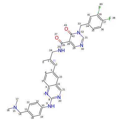 C/C(=C\c1ccc2nc(Nc3ccc(CN(C)C)cc3)ncc2c1)CNC(=O)c1cncn(Cc2ccc(F)c(F)c2)c1=O